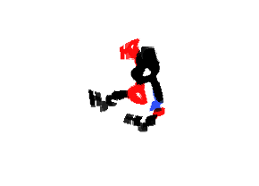 CCOc1cc(O)ccc1C=NOC